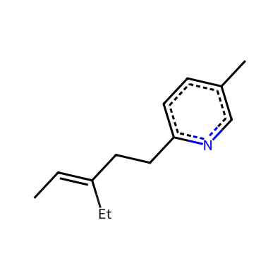 C/C=C(\CC)CCc1ccc(C)cn1